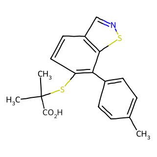 Cc1ccc(-c2c(SC(C)(C)C(=O)O)ccc3cnsc23)cc1